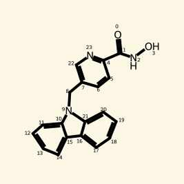 O=C(NO)c1ccc(Cn2c3ccccc3c3ccccc32)cn1